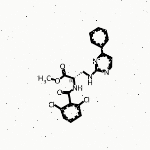 COC(=O)[C@H](CNc1nccc(-c2ccccc2)n1)NC(=O)c1c(Cl)cccc1Cl